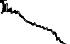 C=C(OC)C(=O)OCCOCCOCCOCCOCCOCCOCCOCCOCCO